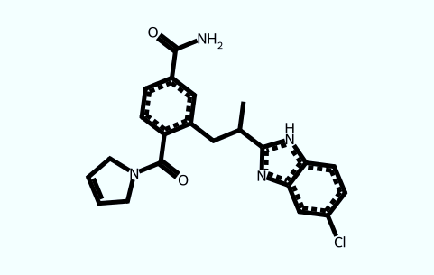 CC(Cc1cc(C(N)=O)ccc1C(=O)N1CC=CC1)c1nc2cc(Cl)ccc2[nH]1